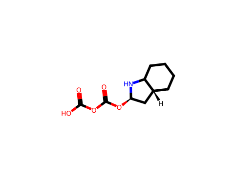 O=C(O)OC(=O)O[C@@H]1C[C@H]2CCCCC2N1